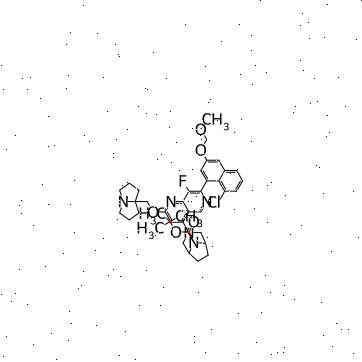 COCOc1cc(-c2ncc3c(N4CC5CCC(C4)N5C(=O)OC(C)(C)C)cc(OCC45CCCN4CCC5)nc3c2F)c2c(Cl)cccc2c1